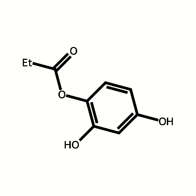 CCC(=O)Oc1ccc(O)cc1O